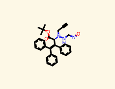 C#CCN(NCN=O)[C@H](C(=O)OC(C)(C)C)C(=C(c1ccccc1)c1ccccc1)c1ccccc1